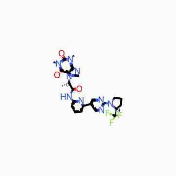 C[C@@H](C(=O)Nc1cccc(-c2cnc(N3CCC[C@H]3C(F)(F)F)nc2)n1)n1cnc2c1c(=O)n(C)c(=O)n2C